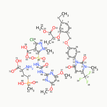 CCc1ccc(COc2ccc(-n3c(=O)cc(C(F)(F)F)n(C)c3=O)cc2)c(OC(C)C(=O)OC)c1.COc1cc(OC)nc(NC(=O)NS(=O)(=O)c2c(C(=O)O)c(Cl)nn2C)n1.CP(=O)(O)CCC(N)C(=O)O